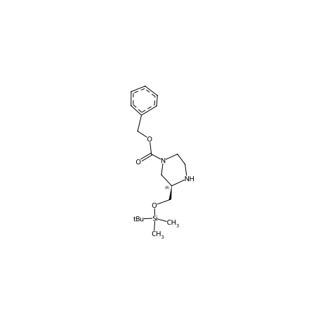 CC(C)(C)[Si](C)(C)OC[C@H]1CN(C(=O)OCc2ccccc2)CCN1